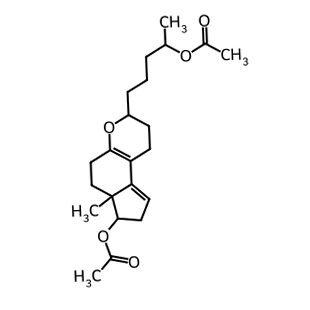 CC(=O)OC(C)CCCC1CCC2=C(CCC3(C)C2=CCC3OC(C)=O)O1